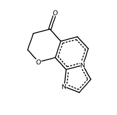 O=C1CCOc2c1ccn1ccnc21